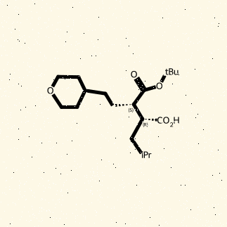 CC(C)C[C@@H](C(=O)O)[C@H](CCC1CCOCC1)C(=O)OC(C)(C)C